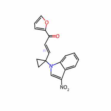 O=C(/C=C/C1(n2cc([N+](=O)[O-])c3ccccc32)CC1)c1ccco1